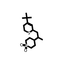 CC(CC1C=C(C(C)(C)C)CCS1)C1CCS(=O)(=O)CC1